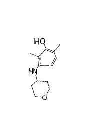 Cc1ccc(NC2CCOCC2)c(C)c1O